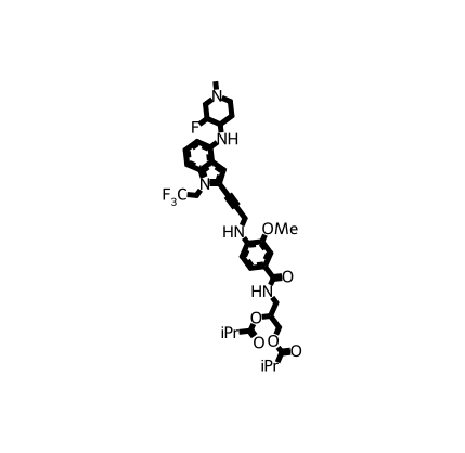 COc1cc(C(=O)NCC(COC(=O)C(C)C)OC(=O)C(C)C)ccc1NCC#Cc1cc2c(NC3CCN(C)CC3F)cccc2n1CC(F)(F)F